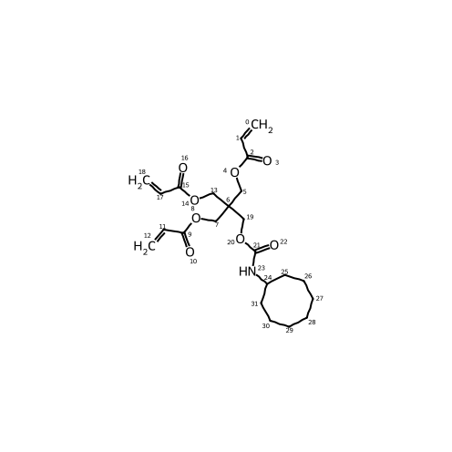 C=CC(=O)OCC(COC(=O)C=C)(COC(=O)C=C)COC(=O)NC1CCCCCCC1